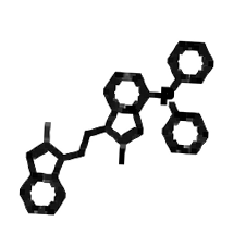 CC1=Cc2ccccc2C1CCC1C(C)=Cc2c1cccc2P(c1ccccc1)c1ccccc1